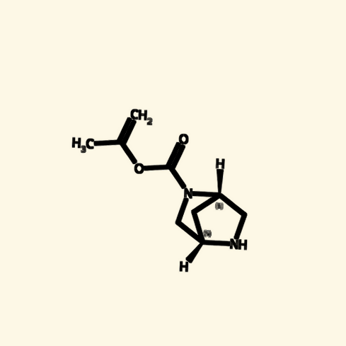 C=C(C)OC(=O)N1C[C@@H]2C[C@H]1CN2